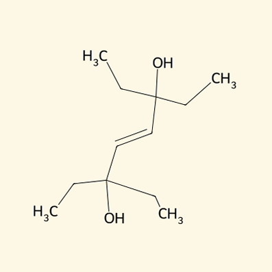 CCC(O)(C=CC(O)(CC)CC)CC